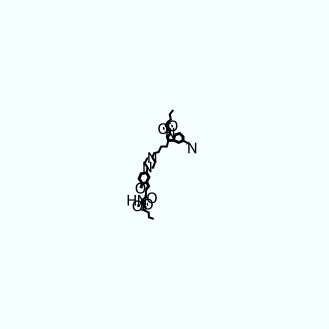 CCCCS(=O)(=O)NC(=O)c1cc2cc(N3CCN(CCCCc4cn(S(=O)(=O)CCCC)c5ccc(C#N)cc45)CC3)ccc2o1